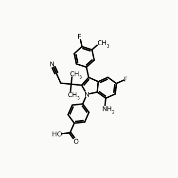 Cc1cc(-c2c(C(C)(C)CC#N)n(-c3ccc(C(=O)O)cc3)c3c(N)cc(F)cc23)ccc1F